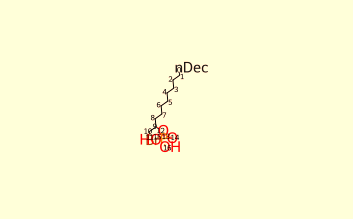 CCCCCCCCCCCCCCCCCCC(CBr)OP(=O)(O)O